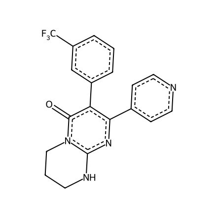 O=c1c(-c2cccc(C(F)(F)F)c2)c(-c2ccncc2)nc2n1CCCN2